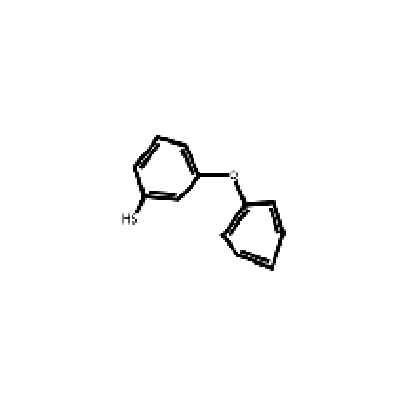 Sc1cccc(Oc2ccccc2)c1